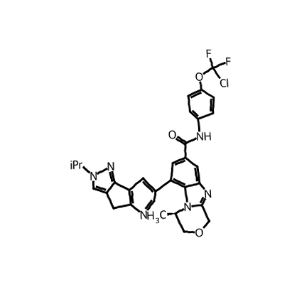 CC(C)n1cc2c(n1)-c1cc(-c3cc(C(=O)Nc4ccc(OC(F)(F)Cl)cc4)cc4nc5n(c34)[C@H](C)COC5)cnc1C2